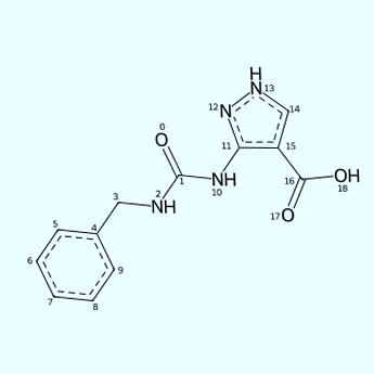 O=C(NCc1ccccc1)Nc1n[nH]cc1C(=O)O